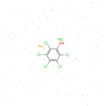 Cl.Oc1c(Cl)c(Cl)c(Cl)c(Cl)c1Cl.P